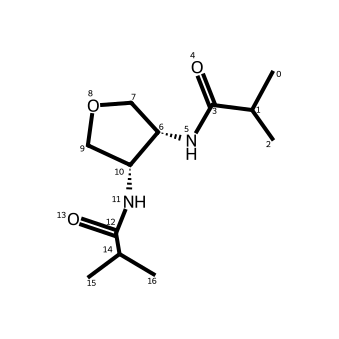 CC(C)C(=O)N[C@H]1COC[C@H]1NC(=O)C(C)C